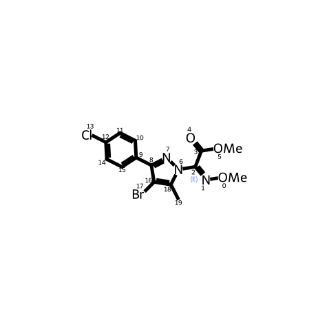 CO/N=C(\C(=O)OC)n1nc(-c2ccc(Cl)cc2)c(Br)c1C